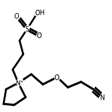 N#CCCOCC[N+]1(CCCS(=O)(=O)O)CCCC1